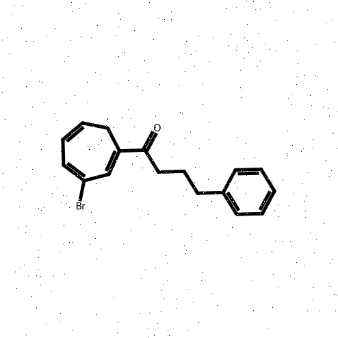 O=C(CCCc1ccccc1)C1=CC(Br)=CC=CC1